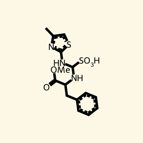 COC(=O)C(Cc1ccccc1)NC(Nc1nc(C)cs1)S(=O)(=O)O